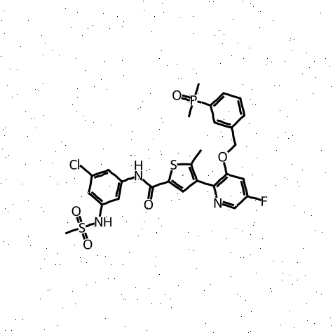 Cc1sc(C(=O)Nc2cc(Cl)cc(NS(C)(=O)=O)c2)cc1-c1ncc(F)cc1OCc1cccc(P(C)(C)=O)c1